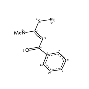 CCS/C(=C/C(=O)c1ccccc1)NC